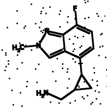 Cn1cc2c(C3CC3CN)ccc(F)c2n1